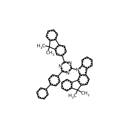 CC1(C)c2ccccc2-c2ccc(-c3nc(-c4ccc(-c5ccccc5)cc4)nc(-n4c5ccccc5c5ccc6c(c54)-c4ccccc4C6(C)C)n3)cc21